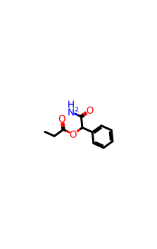 CCC(=O)OC(C(N)=O)c1ccccc1